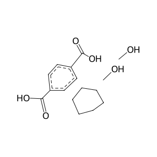 C1CCCCC1.CO.CO.O=C(O)c1ccc(C(=O)O)cc1